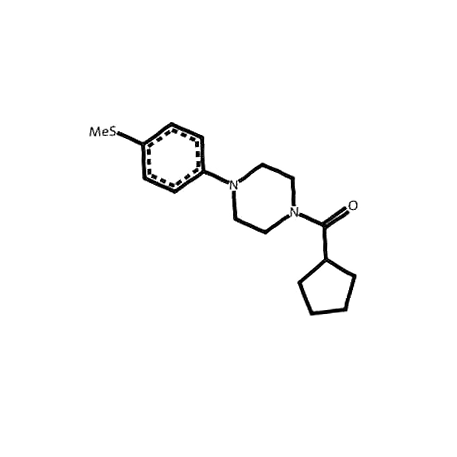 CSc1ccc(N2CCN(C(=O)C3CCCC3)CC2)cc1